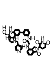 O=C1CCC(N2Cc3c(NCC(=O)Nc4cccc(-c5ccc6c(c5)[C@H]5[C@H](CCN5Cc5ccncc5)[C@@H](CO)N6)c4)cccc3C2=O)C(=O)N1